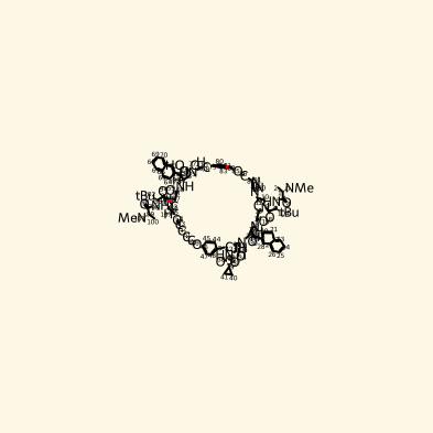 CN[C@@H](C)C(=O)N[C@H](C(=O)N1CC2CC1C(=O)N[C@@H](Cc1ccc3ccccc3c1)C(=O)N[C@H](C(=O)NS(=O)(=O)C1CC1)Cc1ccc(cc1)OCCCCO[C@H]1C[C@@H](C(=O)N[C@@H](Cc3ccc4ccccc4c3)C(=O)N[C@H](C(=O)O)Cc3ccc(cc3)OCc3cn2nn3)N(C(=O)[C@@H](NC(=O)[C@H](C)NC)C(C)(C)C)C1)C(C)(C)C